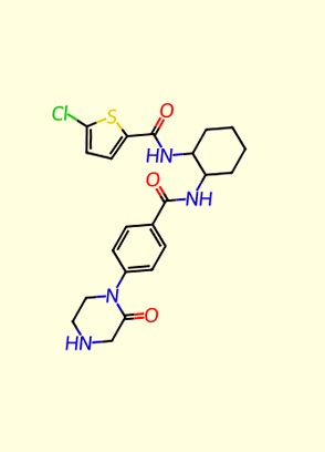 O=C(NC1CCCCC1NC(=O)c1ccc(Cl)s1)c1ccc(N2CCNCC2=O)cc1